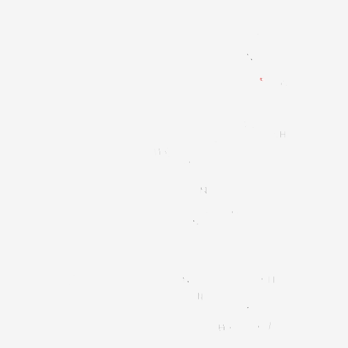 COc1ccc(C(=O)N2C3CCC2CC(Cc2ccc(NC(=O)Nc4cc(C(C)(C)C)nn4-c4ccc(C)cc4)cc2)C3)c(C)c1